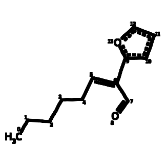 CCCCCC=C(C=O)c1ccco1